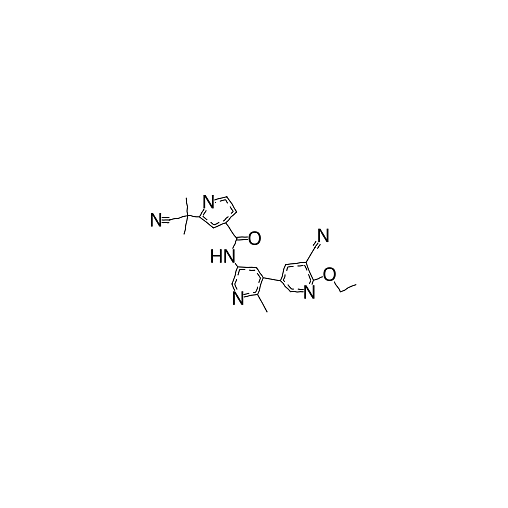 CCOc1ncc(-c2cc(NC(=O)c3ccnc(C(C)(C)C#N)c3)cnc2C)cc1C#N